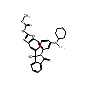 COC(=O)Nc1nc2cc(C3(O)c4ccccc4C(=O)N3c3cccc(N(C)C4CCCCC4)c3)ccc2[nH]1